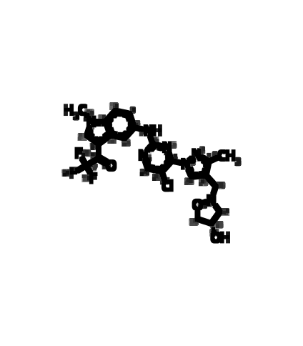 Cc1nn(-c2nc(Nc3ccc4c(c3)c(C(=O)C(F)(F)F)cn4C)ncc2Cl)cc1CN1C[C@H](O)CO1